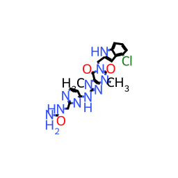 Cn1c(Nc2ccnc(CNC(N)=O)n2)nc2c1c(=O)n(Cc1cc3c(Cl)cccc3[nH]1)c(=O)n2C